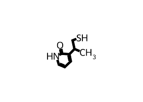 CC(CS)c1ccc[nH]c1=O